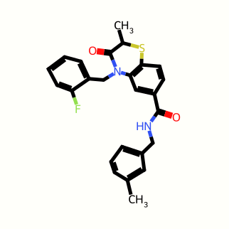 Cc1cccc(CNC(=O)c2ccc3c(c2)N(Cc2ccccc2F)C(=O)C(C)S3)c1